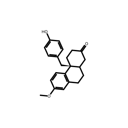 COc1ccc2c(c1)CCC1CC(=O)CC[C@@]21Cc1ccc(O)cc1